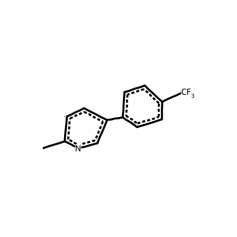 Cc1[c]cc(-c2ccc(C(F)(F)F)cc2)cn1